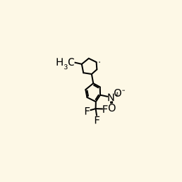 CC1C[CH]CC(c2ccc(C(F)(F)F)c([N+](=O)[O-])c2)C1